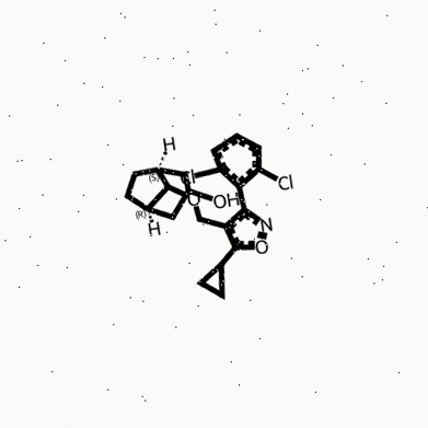 OC1C[C@H]2CC[C@@H](C1)C2OCc1c(-c2c(Cl)cccc2Cl)noc1C1CC1